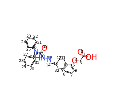 O=C(O)COc1cccc2c1CCC(C=NNC(=O)N(c1ccccc1)c1ccccc1)C2